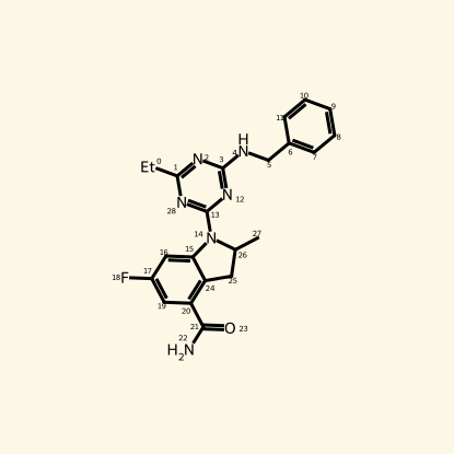 CCc1nc(NCc2ccccc2)nc(N2c3cc(F)cc(C(N)=O)c3CC2C)n1